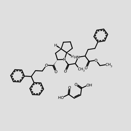 CCOC(=O)C(CCc1ccccc1)NC(C)C(=O)N1[C@H](C(=O)OCCC(c2ccccc2)c2ccccc2)C[C@@H]2CCC[C@@H]21.O=C(O)/C=C\C(=O)O